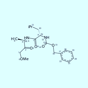 COCC(=O)[C@@H](C)NC(=O)[C@H](CC(C)C)NC(=O)OCc1ccccc1